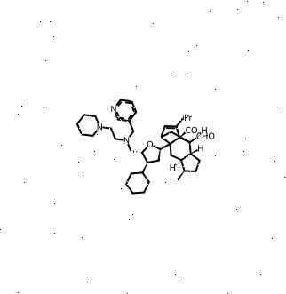 CC(C)C1=CC2CC3(C=O)[C@@H]4CC[C@@H](C)[C@H]4CC2([C@H]2C[C@@H](C4CCCCC4)[C@H](CN(CCN4CCCCC4)Cc4cccnc4)O2)[C@]13C(=O)O